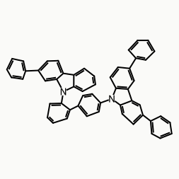 c1ccc(-c2ccc3c(c2)c2cc(-c4ccccc4)ccc2n3-c2ccc(-c3ccccc3-n3c4ccccc4c4ccc(-c5ccccc5)cc43)cc2)cc1